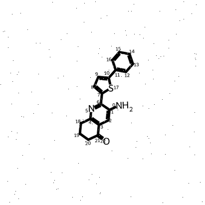 Nc1cc2c(nc1-c1ccc(-c3ccccc3)s1)CCCC2=O